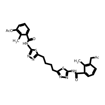 CC(=O)Cc1cccc(C(=O)Nc2nnc(CCCCc3nnc(NC(=O)c4cccc(OC(C)=O)c4C)s3)s2)c1C